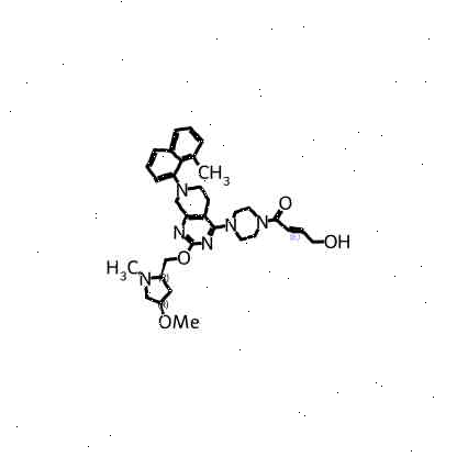 CO[C@@H]1C[C@H](COc2nc3c(c(N4CCN(C(=O)/C=C/CO)CC4)n2)CCN(c2cccc4cccc(C)c24)C3)N(C)C1